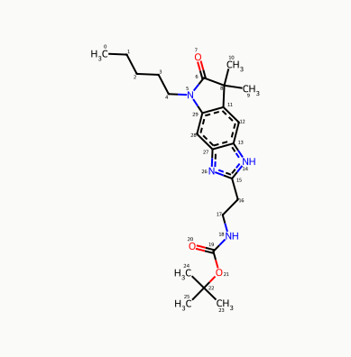 CCCCCN1C(=O)C(C)(C)c2cc3[nH]c(CCNC(=O)OC(C)(C)C)nc3cc21